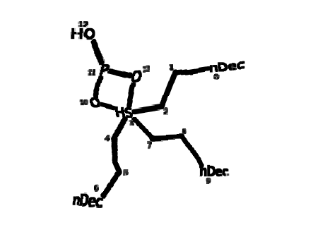 CCCCCCCCCCCC[SH]1(CCCCCCCCCCCC)(CCCCCCCCCCCC)OP(O)O1